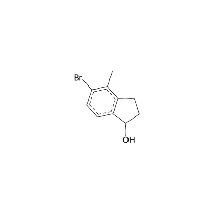 Cc1c(Br)ccc2c1CCC2O